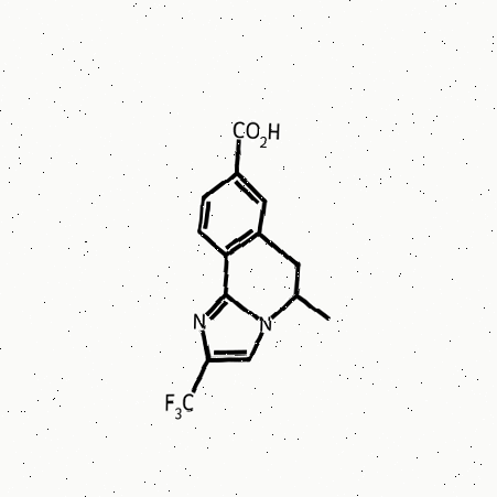 CC1Cc2cc(C(=O)O)ccc2-c2nc(C(F)(F)F)cn21